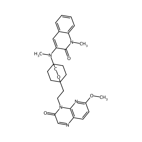 COc1ccc2ncc(=O)n(CCC34CCC(N(C)c5cc6ccccc6n(C)c5=O)(CC3)CO4)c2n1